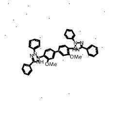 COc1cc(-c2ccc(N3NC(c4ccccc4)=NN3c3ccccc3)c(OC)c2)ccc1N1NC(c2ccccc2)=NN1c1ccccc1